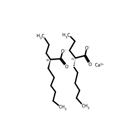 CCCCCC[C@@H](CCC)C(=O)[O-].CCCCCC[C@H](CCC)C(=O)[O-].[Ca+2]